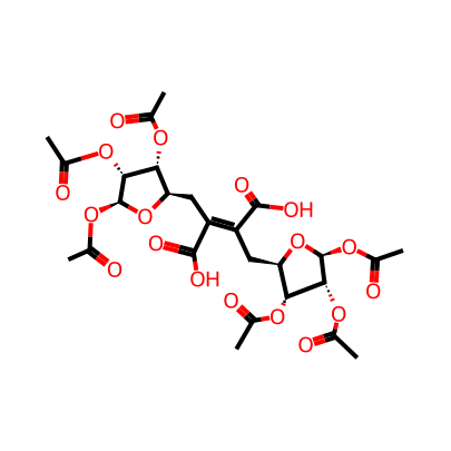 CC(=O)O[C@@H]1O[C@H](C/C(C(=O)O)=C(/C[C@H]2O[C@@H](OC(C)=O)[C@H](OC(C)=O)[C@@H]2OC(C)=O)C(=O)O)[C@@H](OC(C)=O)[C@H]1OC(C)=O